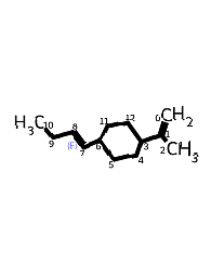 C=C(C)C1CCC(/C=C/CC)CC1